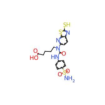 NS(=O)(=O)c1ccc(NC(=O)N(CCCCC(=O)O)c2ccc3nc(S)sc3n2)cc1